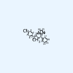 CC(c1ccc(Cl)cc1)C(CCc1ccccc1)Cn1ccnc1